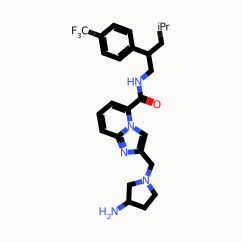 CC(C)CC(CNC(=O)c1cccc2nc(CN3CCC(N)C3)cn12)c1ccc(C(F)(F)F)cc1